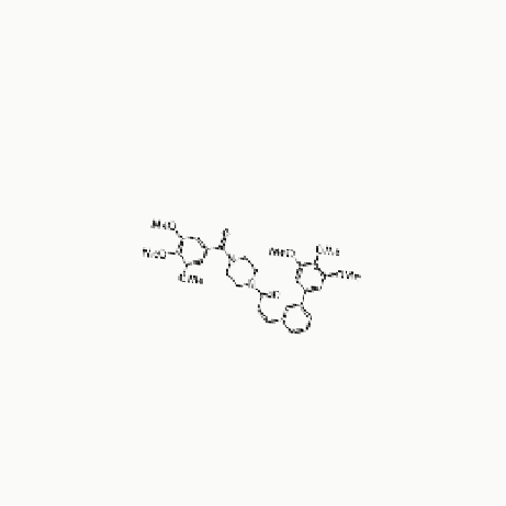 COc1cc(C(=O)N2CCN(C(=O)/C=C\c3cccc(-c4cc(OC)c(OC)c(OC)c4)c3)CC2)cc(OC)c1OC